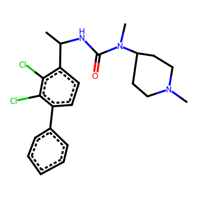 CC(NC(=O)N(C)C1CCN(C)CC1)c1ccc(-c2ccccc2)c(Cl)c1Cl